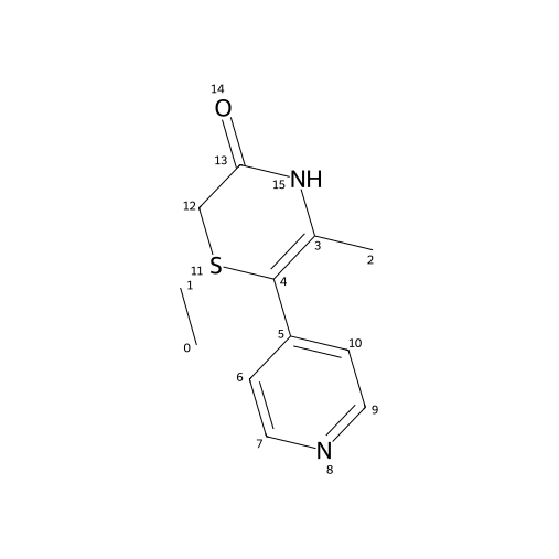 CC.CC1=C(c2ccncc2)SCC(=O)N1